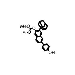 CCOC(OC)Oc1cc2ccc(-c3ccc(O)cc3)cc2cc1C12CC3CC(CC(C3)C1)C2